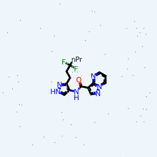 CCCC(F)(F)CCc1n[nH]cc1NC(=O)c1cnn2cccnc12